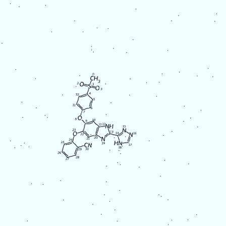 CS(=O)(=O)c1ccc(Oc2cc3[nH]c(-c4nnc[nH]4)nc3cc2Oc2ccccc2C#N)cc1